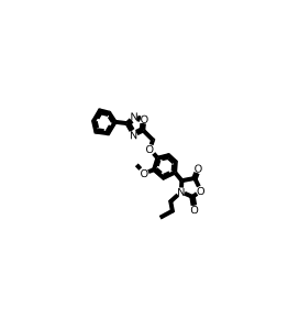 CCCN1C(=O)OC(=O)C1c1ccc(OCc2nc(-c3ccccc3)no2)c(OC)c1